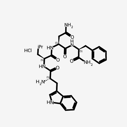 CC(C)C[C@H](NC(=O)[C@@H](N)Cc1c[nH]c2ccccc12)C(=O)N[C@@H](CC(N)=O)C(=O)N[C@@H](Cc1ccccc1)C(N)=O.Cl